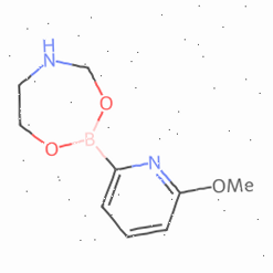 COc1cccc(B2OCCNCO2)n1